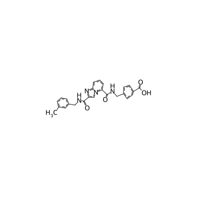 Cc1cccc(CNC(=O)c2cn3c(C(=O)NCc4ccc(C(=O)O)cc4)cccc3n2)c1